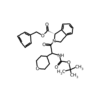 CC(C)(C)OC(=O)NC(C(=O)N1Cc2ccccc2[C@H]1C(=O)OCc1ccccc1)C1CCOCC1